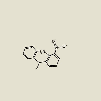 CC(c1ccccc1)c1cccc([N+](=O)[O-])c1N